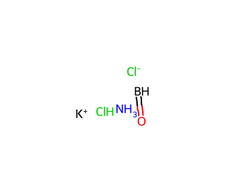 B=O.Cl.N.[Cl-].[K+]